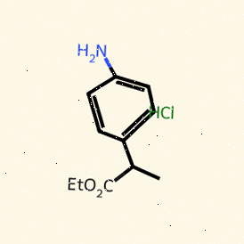 CCOC(=O)C(C)c1ccc(N)cc1.Cl